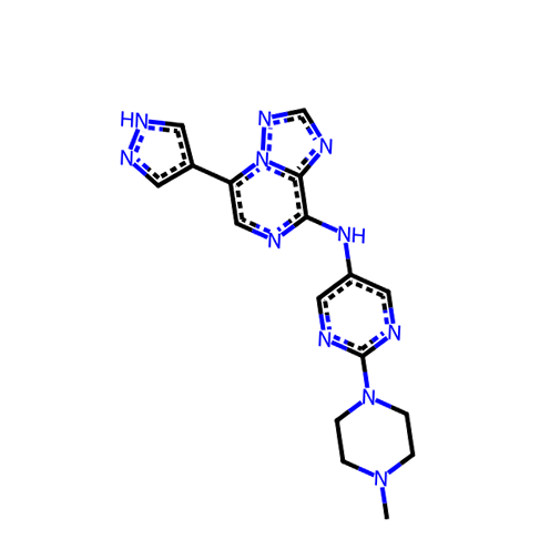 CN1CCN(c2ncc(Nc3ncc(-c4cn[nH]c4)n4ncnc34)cn2)CC1